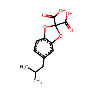 CC(C)Cc1ccc2c(c1)OC(C(=O)O)(C(=O)O)O2